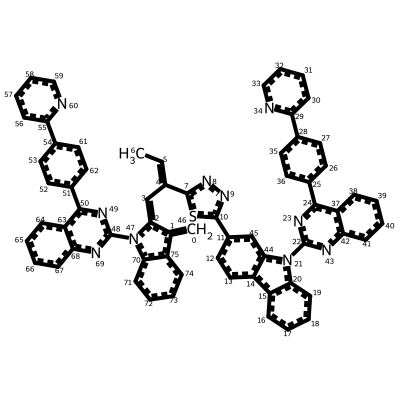 C=c1/c(=C\C(=C/C)c2nnc(-c3ccc4c5ccccc5n(-c5nc(-c6ccc(-c7ccccn7)cc6)c6ccccc6n5)c4c3)s2)n(-c2nc(-c3ccc(-c4ccccn4)cc3)c3ccccc3n2)c2ccccc12